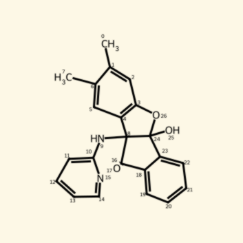 Cc1cc2c(cc1C)C1(Nc3ccccn3)C(=O)c3ccccc3C1(O)O2